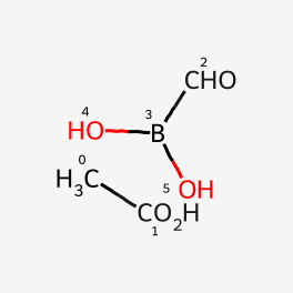 CC(=O)O.O=CB(O)O